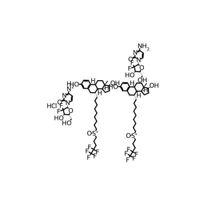 C[C@]12CC[C@@H]3c4ccc(O)cc4C[C@@H](CCCCCCCCC[S+]([O-])CCCC(F)(F)C(F)(F)F)[C@H]3[C@@H]1CC[C@@H]2O.C[C@]12CC[C@@H]3c4ccc(O)cc4C[C@@H](CCCCCCCCC[S+]([O-])CCCC(F)(F)C(F)(F)F)[C@H]3[C@@H]1CC[C@@H]2O.Cl.Nc1ccn([C@@H]2O[C@H](CO)[C@@H](O)C2(F)F)c(=O)n1.Nc1ccn([C@@H]2O[C@H](CO)[C@@H](O)C2(F)F)c(=O)n1